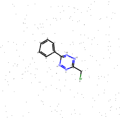 BrCc1nnc(-c2ccccc2)nn1